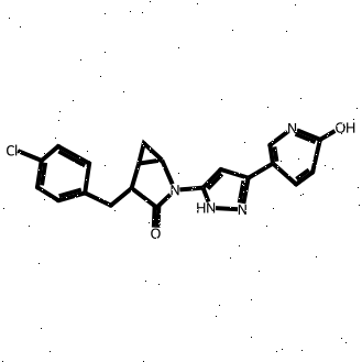 O=C1C(Cc2ccc(Cl)cc2)C2CC2N1c1cc(-c2ccc(O)nc2)n[nH]1